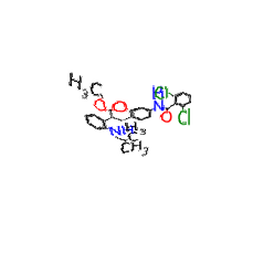 CCOC(=O)C(Cc1ccc(NC(=O)c2c(Cl)cccc2Cl)cc1)c1ccccc1NCC(C)C